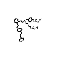 O=C(O)CCCCN(CCc1ccccc1CCc1ccc(CCc2ccccc2)cc1)Cc1ccc(C(=O)O)cc1